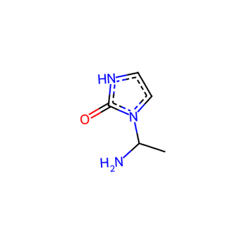 CC(N)n1cc[nH]c1=O